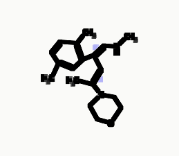 CN/C=C(\C=C(/C)N1CCOCC1)c1cc(C)ccc1C